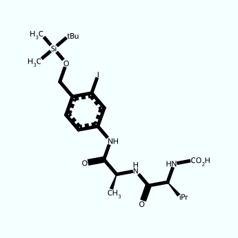 CC(C)[C@H](NC(=O)O)C(=O)N[C@@H](C)C(=O)Nc1ccc(CO[Si](C)(C)C(C)(C)C)c(I)c1